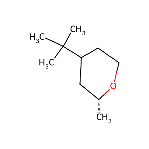 C[C@@H]1CC(C(C)(C)C)CCO1